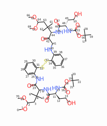 COC(CC(C)(C)C(NC(=O)[C@H](CCO)NC(=O)OC(C)(C)C)C(=O)Nc1ccccc1SSc1ccccc1NCC(=O)[C@H](NC(=O)[C@H](CCO)NC(=O)OC(C)(C)C)C(C)(C)CC(OC)OC)OC